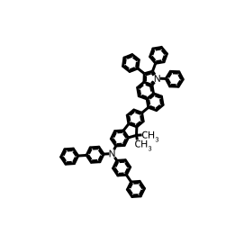 CC1(C)c2cc(-c3cccc4c3ccc3c(-c5ccccc5)c(-c5ccccc5)n(-c5ccccc5)c34)ccc2-c2ccc(N(c3ccc(-c4ccccc4)cc3)c3ccc(-c4ccccc4)cc3)cc21